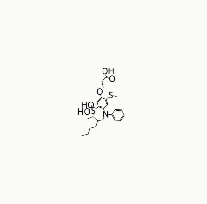 CCCCC1CN(c2ccccc2)c2cc(SC)c(O/C=C/C(=O)O)cc2S(O)(O)C1C